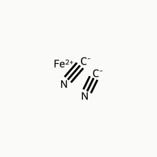 [C-]#N.[C-]#N.[Fe+2]